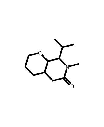 CC(C)C1C2OCCCC2CC(=O)N1C